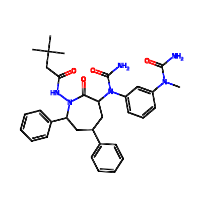 CN(C(N)=O)c1cccc(N(C(N)=O)C2CC(c3ccccc3)CC(c3ccccc3)N(NC(=O)CC(C)(C)C)C2=O)c1